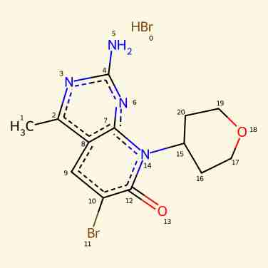 Br.Cc1nc(N)nc2c1cc(Br)c(=O)n2C1CCOCC1